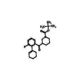 CC(C)(C)OC(=O)N1CCCC(C(=O)c2cccc(F)c2C2=CCCCC2)C1